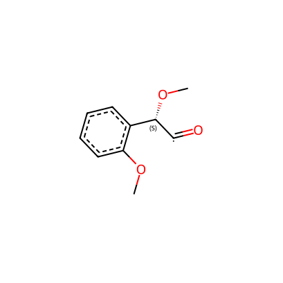 COc1ccccc1[C@@H]([C]=O)OC